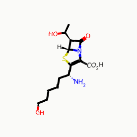 CC(O)[C@H]1C(=O)N2C(C(=O)O)=C([C@H](N)CCCCCO)S[C@H]12